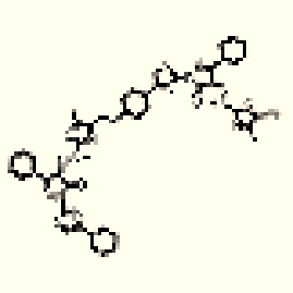 CCc1sc(N/N=C2\C(=O)N(c3nc(-c4ccc(CCc5nc(N/N=C6\C(=O)N(c7nc(-c8ccccc8)cs7)N=C6c6ccccc6)sc5C)cc4)cs3)N=C2c2ccccc2)nc1C